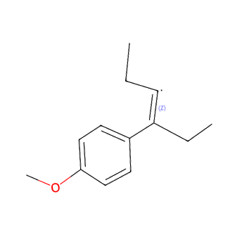 CC/[C]=C(/CC)c1ccc(OC)cc1